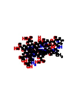 CNC(=O)CNC(=O)[C@H](CC(C)C)NC(=O)[C@@H]1CCCN1C(=O)COCCNC(=O)[C@H](Cc1ccc(C(C)=O)cc1)NC(=O)[C@@H](CCC(=O)O)NC(=O)[C@@H](CCC(=O)O)NC(=O)[C@@H](CCC(=O)O)NC(=O)[C@@H](CCC(=O)O)NC(=O)[C@@H](CCC(=O)O)NC(=O)[C@@H](CCC(=O)O)NC(=O)[C@@H](CCC(=O)O)NC(=O)[C@@H](CCC(=O)O)NC(=O)[C@H](N)CCC(=O)O